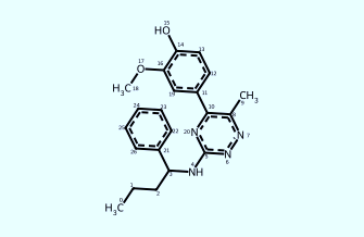 CCCC(Nc1nnc(C)c(-c2ccc(O)c(OC)c2)n1)c1ccccc1